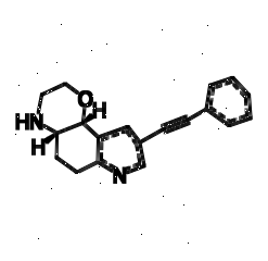 C(#Cc1cnc2c(c1)[C@H]1OCCN[C@H]1CC2)c1ccccc1